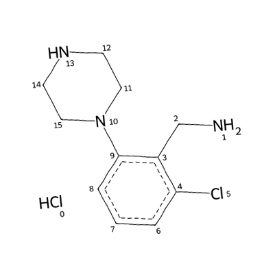 Cl.NCc1c(Cl)cccc1N1CCNCC1